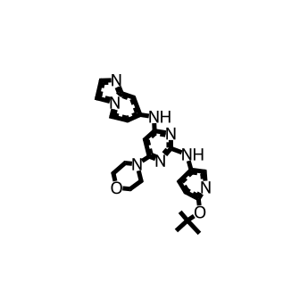 CC(C)(C)Oc1ccc(Nc2nc(Nc3ccn4ccnc4c3)cc(N3CCOCC3)n2)cn1